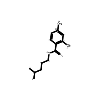 CC(C)CCCOC(=S)c1ccc(O)cc1O